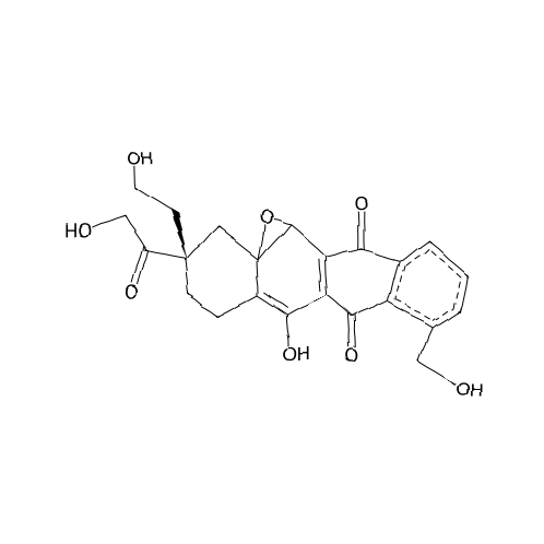 O=C1C2=C(C(=O)c3c(CO)cccc31)C(O)=C1CC[C@](CCO)(C(=O)CO)CC13OC23